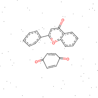 O=C1C=CC(=O)C=C1.O=c1cc(-c2ccccc2)oc2ccccc12